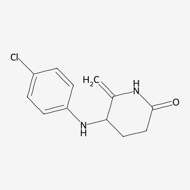 C=C1NC(=O)CCC1Nc1ccc(Cl)cc1